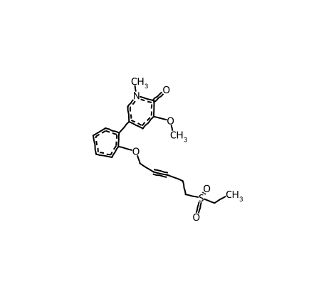 CCS(=O)(=O)CCC#CCOc1ccccc1-c1cc(OC)c(=O)n(C)c1